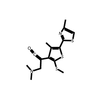 CSc1sc(-c2nc(C)cs2)c(C)c1C(=C=O)CN(C)C